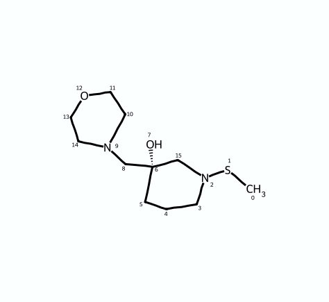 CSN1CCC[C@@](O)(CN2CCOCC2)C1